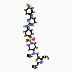 Cc1nc(C)c(CN(C)C2CCN(S(=O)(=O)c3ccc(Nc4nccc(-c5ccc(F)cc5)n4)cc3)CC2)s1